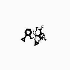 Cn1nc(C(F)F)c(C(=O)N(Cc2ccccc2C2CC2)C2CC2)c1F